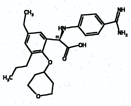 CCCc1cc(CC)cc([C@@H](Nc2ccc(C(=N)N)cc2)C(=O)O)c1OC1CCOCC1